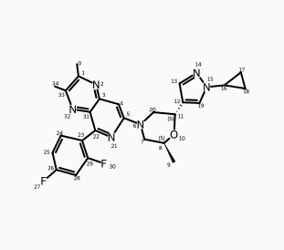 Cc1nc2cc(N3C[C@H](C)O[C@@H](c4cnn(C5CC5)c4)C3)nc(-c3ccc(F)cc3F)c2nc1C